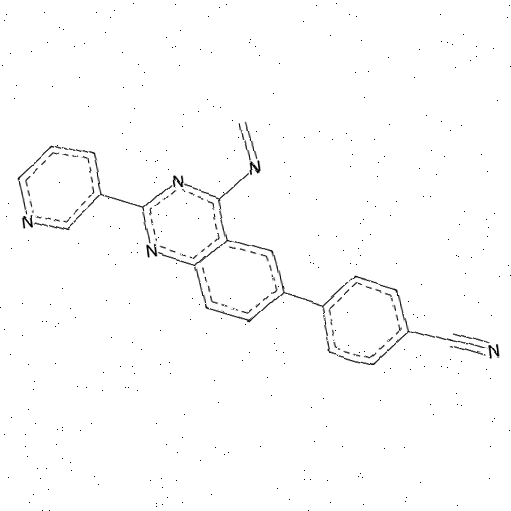 C=Nc1nc(-c2cccnc2)nc2ccc(-c3ccc(C#N)cc3)cc12